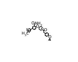 Cn1cc(-c2ccc(OC3CCN(C(=O)Cc4ccc(OC5CC5)cc4)CC3)c(C(N)=O)c2)cn1